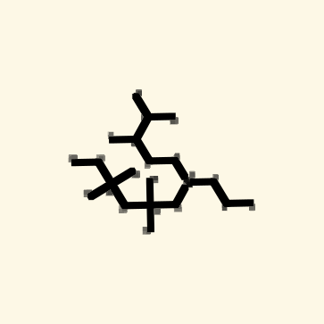 CCCN(CCC(C)C(C)C)CC(C)(C)CC(C)(C)CC